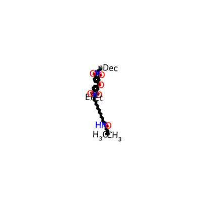 CCCCCCCCCCCCN1C(=O)c2ccc(C(=O)c3ccc4c(c3)C(=O)N(C(CC)(CC)CCCCCCCCCCCCNC(=O)CC=C(C)C)C4=O)cc2C1=O